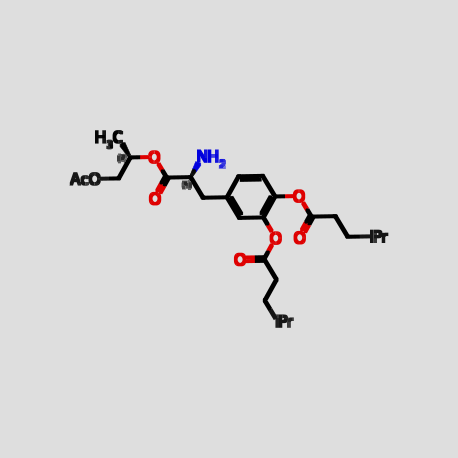 CC(=O)OC[C@@H](C)OC(=O)[C@@H](N)Cc1ccc(OC(=O)CCC(C)C)c(OC(=O)CCC(C)C)c1